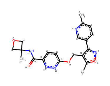 CCc1onc(-c2ccc(C)nc2)c1COc1ccc(C(=O)NC2(C)COC2)nn1